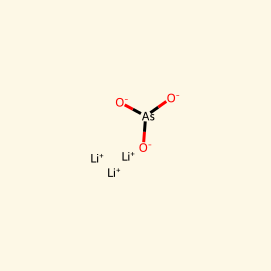 [Li+].[Li+].[Li+].[O-][As]([O-])[O-]